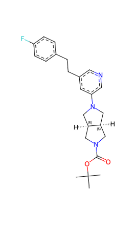 CC(C)(C)OC(=O)N1C[C@@H]2CN(c3cncc(CCc4ccc(F)cc4)c3)C[C@@H]2C1